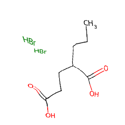 Br.Br.CCCC(CCC(=O)O)C(=O)O